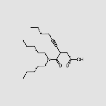 CCCCC#CC(CC(=O)O)C(=O)N(CCCCC)CCCCC